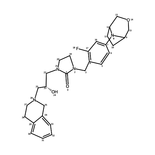 O=C1N(Cc2ccc(N3C4CCC3COC4)cc2F)CCN1C[C@H](O)CN1CCc2ccccc2C1